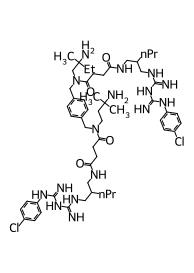 CCCC(CNC(=N)NC(=N)Nc1ccc(Cl)cc1)CNC(=O)CCC(=O)N(CCC(C)(C)N)Cc1ccc(CN(CC(C)(N)CC)C(=O)CCC(=O)NCC(CCC)CNC(=N)NC(=N)Nc2ccc(Cl)cc2)cc1